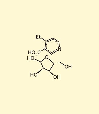 CCc1ccncc1C(=O)O.OC[C@H]1OC(O)[C@H](O)[C@@H]1O